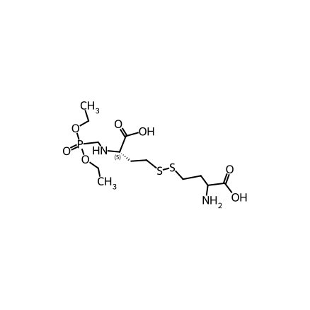 CCOP(=O)(CN[C@@H](CCSSCCC(N)C(=O)O)C(=O)O)OCC